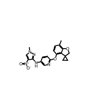 Cc1ccc(Oc2ccc(Nc3nn(C)cc3[N+](=O)[O-])cn2)c2c1OCC21CC1